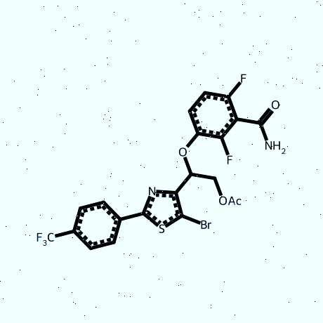 CC(=O)OCC(Oc1ccc(F)c(C(N)=O)c1F)c1nc(-c2ccc(C(F)(F)F)cc2)sc1Br